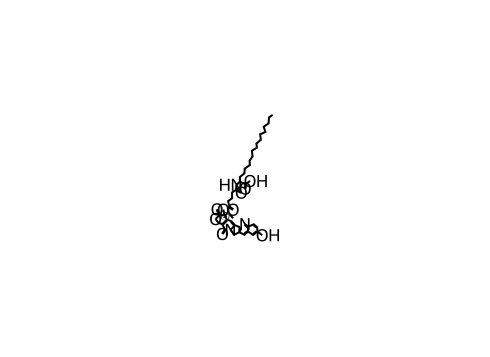 CCCCCCCCCCCCCCCCC(NC(=O)CCCC(=O)O[C@]1(CC)C(=O)OCc2c1cc1n(c2=O)Cc2cc3cc(O)ccc3nc2-1)C(=O)O